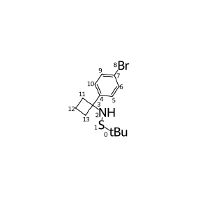 CC(C)(C)SNC1(c2ccc(Br)cc2)CCC1